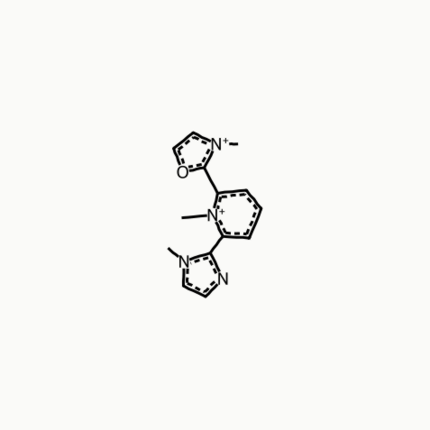 Cn1ccnc1-c1cccc(-c2occ[n+]2C)[n+]1C